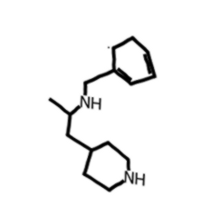 CC(CC1CCNCC1)NCC1=CC=CC[CH]1